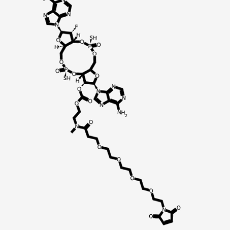 CN(CCOC(=O)O[C@@H]1[C@@H]2O[P@](=O)(S)OC[C@H]3O[C@@H](n4cnc5c(N)ncnc54)[C@H](F)[C@@H]3O[P@](=O)(S)OCC2O[C@H]1n1cnc2c(N)ncnc21)C(=O)CCOCCOCCOCCOCCN1C(=O)C=CC1=O